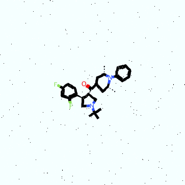 C[C@@H]1CC(C(=O)[C@@H]2CN(C(C)(C)C)C[C@H]2c2ccc(F)cc2F)C[C@H](C)N1c1ccccc1